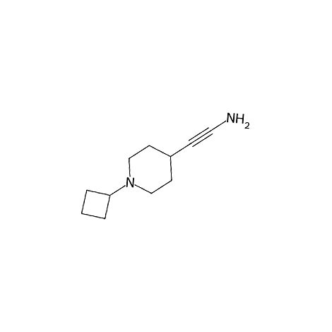 NC#CC1CCN(C2CCC2)CC1